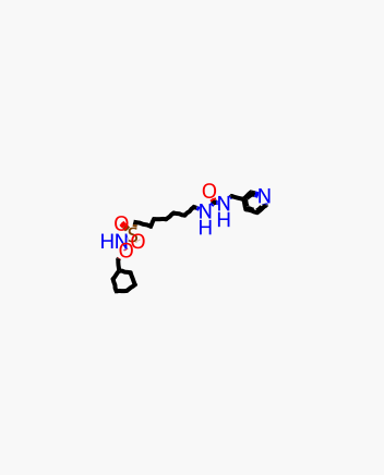 O=C(NCCCCCCCS(=O)(=O)NOCC1CCCCC1)NCc1cccnc1